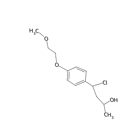 COCCOc1ccc(C(Cl)CC(C)O)cc1